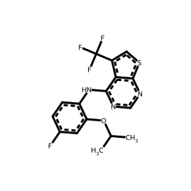 CC(C)Oc1cc(F)ccc1Nc1ncnc2scc(C(F)(F)F)c12